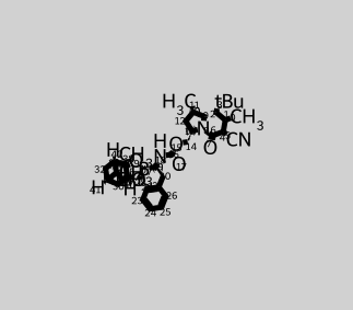 CC(CC(C)(C)C)C(C#N)C(=O)N1C[C@@H](C)C[C@H]1COC(=O)N[C@@H](Cc1ccccc1)B1O[C@@H]2C[C@@H]3C[C@@H](C3(C)C)[C@]2(C)O1